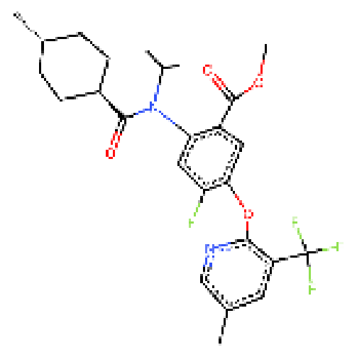 COC(=O)c1cc(Oc2ncc(C)cc2C(F)(F)F)c(F)cc1N(C(=O)[C@H]1CC[C@H](C)CC1)C(C)C